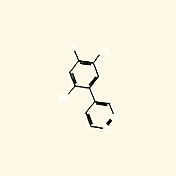 Oc1cc(F)c(C(F)(F)F)cc1-c1ccnnc1